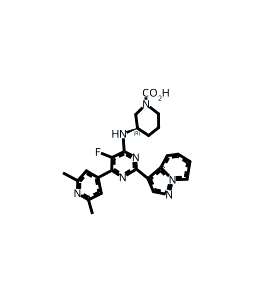 Cc1cc(-c2nc(-c3cnn4ccccc34)nc(N[C@@H]3CCCN(C(=O)O)C3)c2F)cc(C)n1